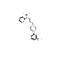 O=c1oc2cccnc2n1CCCN1CCN(c2cccc(C(F)(F)F)c2)CC1